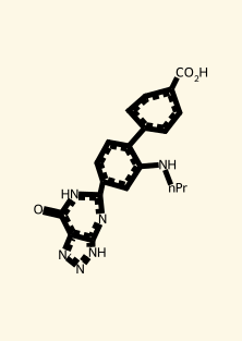 CCCNc1cc(-c2nc3[nH]nnc3c(=O)[nH]2)ccc1-c1ccc(C(=O)O)cc1